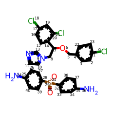 Clc1ccc(COC(Cn2ccnc2)c2ccc(Cl)cc2Cl)cc1.Nc1ccc(S(=O)(=O)c2ccc(N)cc2)cc1